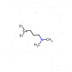 C[CH2][Ga]([CH2]C)[CH2]CCN(C)C